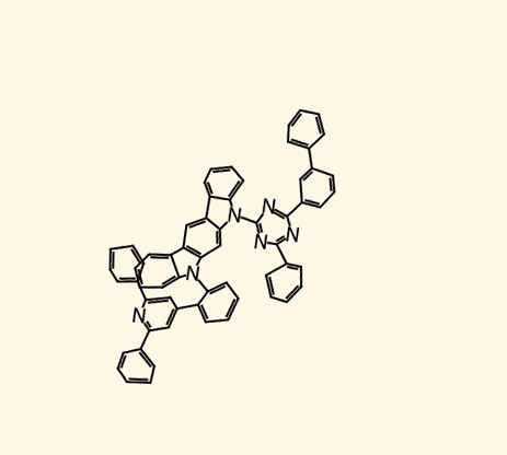 c1ccc(-c2cccc(-c3nc(-c4ccccc4)nc(-n4c5ccccc5c5cc6c7ccccc7n(-c7ccccc7-c7cc(-c8ccccc8)nc(-c8ccccc8)c7)c6cc54)n3)c2)cc1